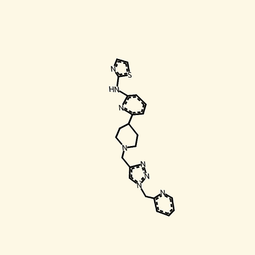 c1ccc(Cn2cc(CN3CCC(c4cccc(Nc5nccs5)n4)CC3)nn2)nc1